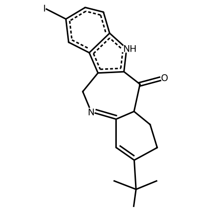 CC(C)(C)C1=CC2=NCc3c([nH]c4ccc(I)cc34)C(=O)C2CC1